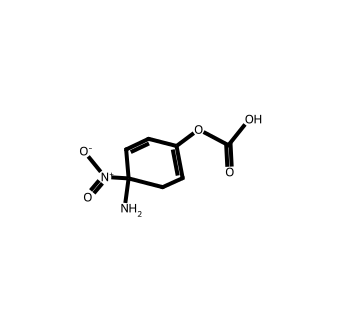 NC1([N+](=O)[O-])C=CC(OC(=O)O)=CC1